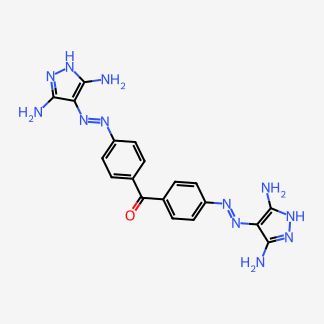 Nc1n[nH]c(N)c1/N=N/c1ccc(C(=O)c2ccc(/N=N/c3c(N)n[nH]c3N)cc2)cc1